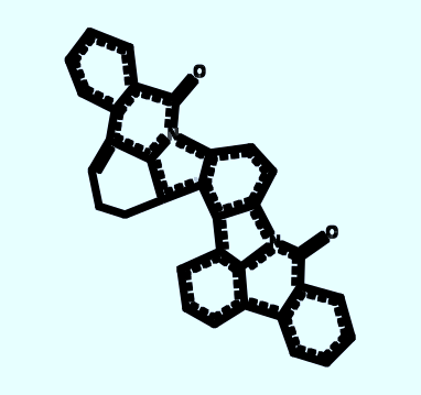 O=c1c2ccccc2c2c3c(c4c5c6cccc7c8ccccc8c(=O)n(c5ccc4n13)c76)CCC=2